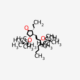 C=CC[C@H]1C(=O)C[C@@H](O[Si](C)(C)C(C)(C)C)[C@@H]1C=C[C@@H](O[Si](C)(C)C(C)(C)C)C(C)CCCC